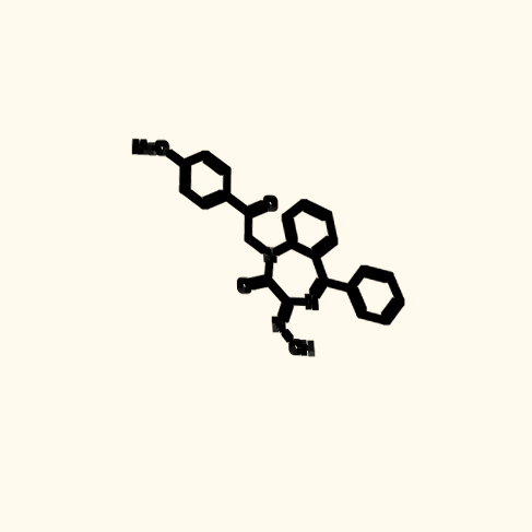 COc1ccc(C(=O)Cn2c(=O)c(=NO)nc(-c3ccccc3)c3ccccc32)cc1